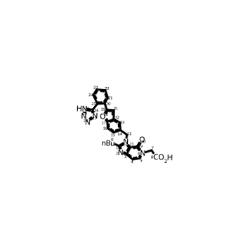 CCCCc1nc2ccn(CC(=O)O)c(=O)c2n1Cc1ccc2oc(-c3ccccc3-c3nnn[nH]3)cc2c1